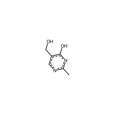 Cc1ncc(CO)c(O)n1